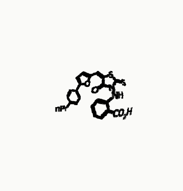 CCCc1ccc(-c2ccc(C=C3SC(=S)N(Nc4ccccc4C(=O)O)C3=O)o2)cc1